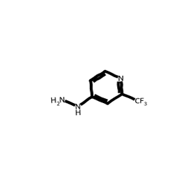 NNc1ccnc(C(F)(F)F)c1